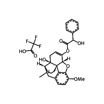 COc1ccc2c3c1O[C@H]1C(OC(=O)C(O)c4ccccc4)=CC[C@@]4(O)[C@@H](C2)N(C)CC[C@]314.O=C(O)C(F)(F)F